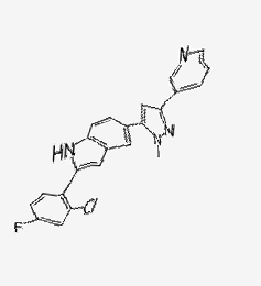 Cn1nc(-c2cccnc2)cc1-c1ccc2[nH]c(-c3ccc(F)cc3Cl)cc2c1